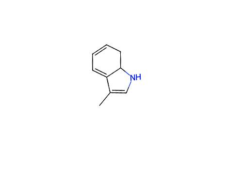 CC1=CNC2CC=CC=C12